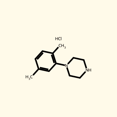 Cc1ccc(C)c(N2CCNCC2)c1.Cl